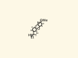 CCN[C@@H]1CCc2c(Oc3ccc(OC)nc3C)cccc21